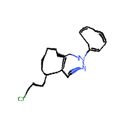 ClCC[C@H]1CCCc2c1cnn2-c1ccccc1